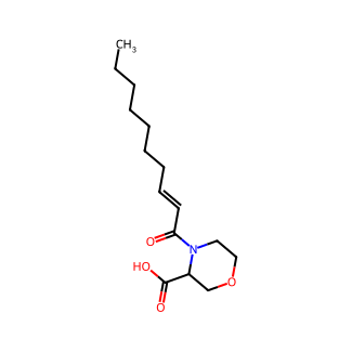 CCCCCCCC=CC(=O)N1CCOCC1C(=O)O